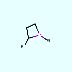 CCC1CCP1CC